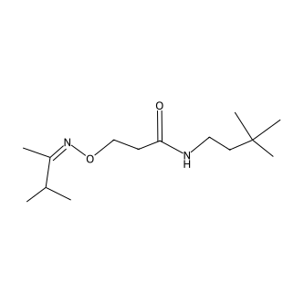 C/C(=N/OCCC(=O)NCCC(C)(C)C)C(C)C